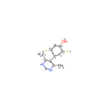 Cc1ncnc(C)c1-c1cc(F)c(O)cc1F